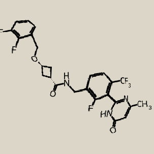 Cc1cc(=O)[nH]c(-c2c(C(F)(F)F)ccc(CNC(=O)[C@H]3C[C@H](OCc4cccc(F)c4F)C3)c2F)n1